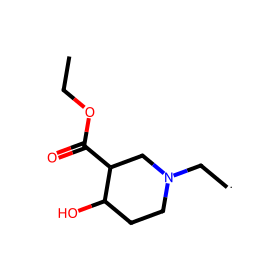 [CH2]CN1CCC(O)C(C(=O)OCC)C1